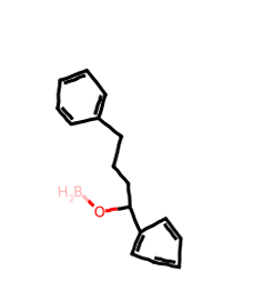 BOC(CCCc1ccccc1)c1ccccc1